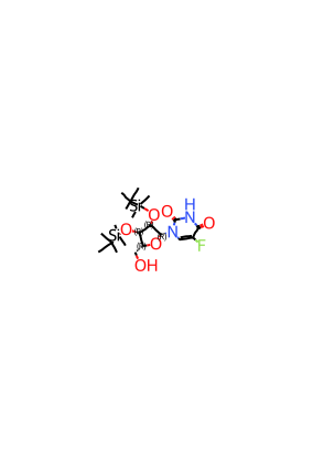 CC(C)(C)[Si](C)(C)O[C@@H]1[C@H](O[Si](C)(C)C(C)(C)C)[C@@H](CO)O[C@H]1n1cc(F)c(=O)[nH]c1=O